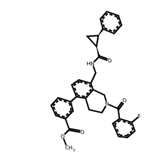 COC(=O)c1cccc(-c2ccc(CNC(=O)[C@H]3C[C@H]3c3ccccc3)c3c2CCN(C(=O)c2ccccc2F)C3)c1